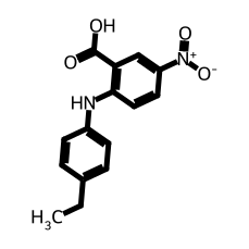 CCc1ccc(Nc2ccc([N+](=O)[O-])cc2C(=O)O)cc1